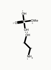 COP(=O)(O)O.NCCO